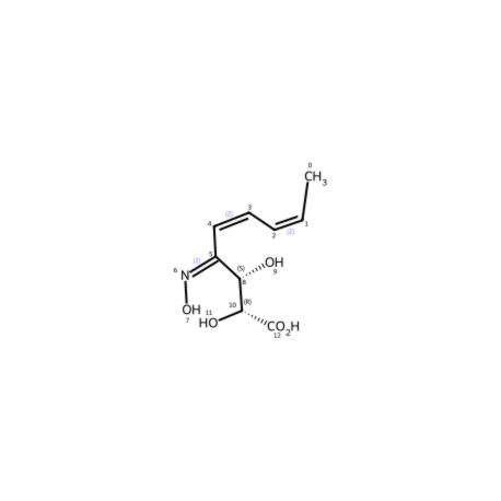 C\C=C/C=C\C(=N\O)[C@H](O)[C@@H](O)C(=O)O